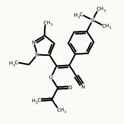 C=C(C)C(=O)O/C(=C(\C#N)c1ccc([Si](C)(C)C)cc1)c1cc(C)nn1CC